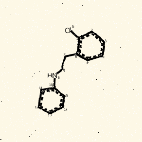 Clc1ccccc1CCNc1cc[c]cc1